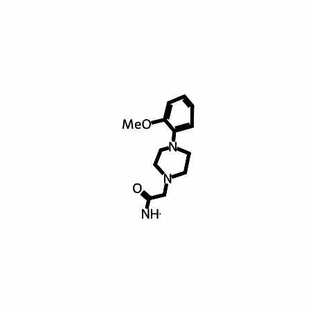 COc1ccccc1N1CCN(CC([NH])=O)CC1